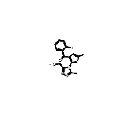 Cc1cc(C(=O)c2ccccc2Cl)c(-n2c(C)nnc2CN)s1